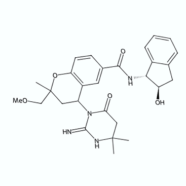 COCC1(C)CC(N2C(=N)NC(C)(C)CC2=O)c2cc(C(=O)N[C@@H]3c4ccccc4C[C@H]3O)ccc2O1